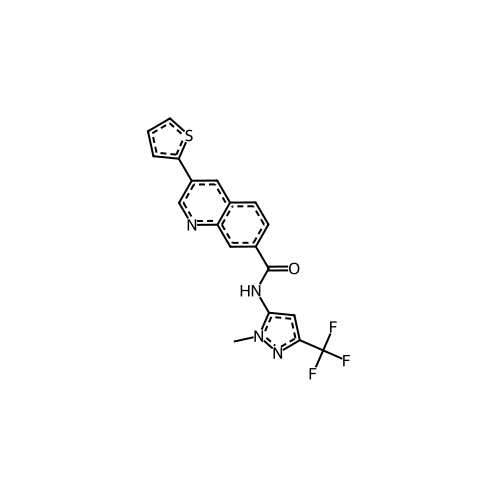 Cn1nc(C(F)(F)F)cc1NC(=O)c1ccc2cc(-c3cccs3)cnc2c1